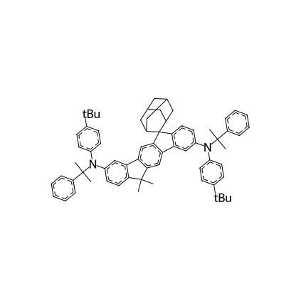 CC(C)(C)c1ccc(N(c2ccc3c(c2)-c2cc4c(cc2C3(C)C)-c2cc(N(c3ccc(C(C)(C)C)cc3)C(C)(C)c3ccccc3)ccc2C42C3CC4CC(C3)CC2C4)C(C)(C)c2ccccc2)cc1